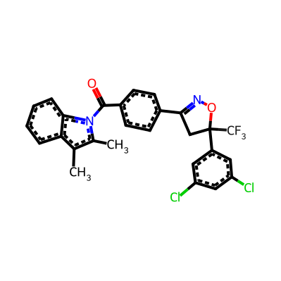 Cc1c(C)n(C(=O)c2ccc(C3=NOC(c4cc(Cl)cc(Cl)c4)(C(F)(F)F)C3)cc2)c2ccccc12